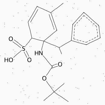 CC1=CC(NC(=O)OC(C)(C)C)(C(C)c2ccccc2)C(S(=O)(=O)O)C=C1